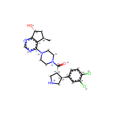 C[C@@H]1C[C@@H](O)c2ncnc(N3CCN(C(=O)[C@H]4CNC[C@@H]4c4ccc(Cl)c(Cl)c4)CC3)c21